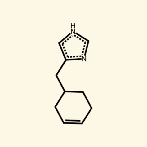 C1=CCC(Cc2c[nH]cn2)CC1